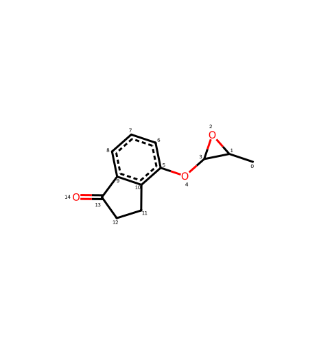 CC1OC1Oc1cccc2c1CCC2=O